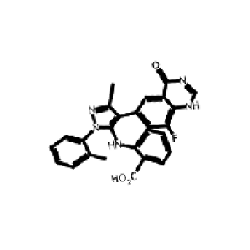 Cc1ccccc1-n1nc(C)c(-c2cc(F)c3[nH]cnc(=O)c3c2)c1Nc1ccccc1C(=O)O